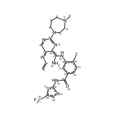 C=C/N=C1/C=NC(N2CCCN(C)CC2)=N/C1=C(/N)Nc1cc(C(=O)Nc2nnc(C(F)(F)F)s2)ccc1C